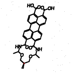 CCCOC(C)NC(=O)c1ccc2c3ccc(C(=O)O)c4c(C(=O)O)ccc(c5ccc(C(=O)NC(C)OCCC)c1c25)c43